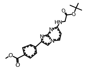 COC(=O)c1ccc(-c2cn3ccc(NCC(=O)OC(C)(C)C)nc3n2)cc1